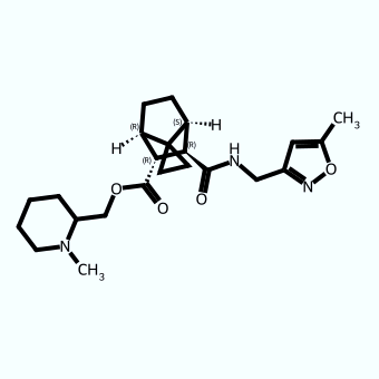 Cc1cc(CNC(=O)[C@H]2[C@H](C(=O)OCC3CCCCN3C)[C@H]3CC[C@@H]2C32CC2)no1